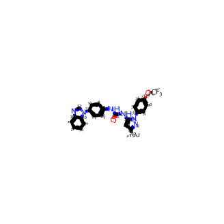 CC(C)(C)c1cc(NC(=O)Nc2ccc(-n3cnc4ccccc43)cc2)n(-c2ccc(OC(F)(F)F)cc2)n1